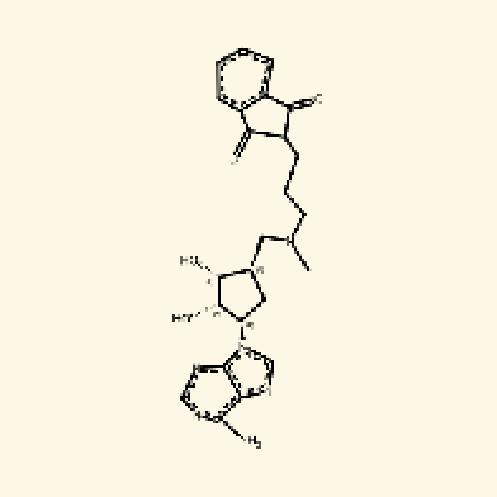 CN(CCCC1C(=O)c2ccccc2C1=O)C[C@H]1C[C@@H](n2cnc3c(N)ncnc32)[C@H](O)[C@@H]1O